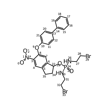 O=[N+]([O-])c1cc2c(cc1Oc1ccc(-c3ccccc3)cc1)C(OP(=O)(NCCBr)NCCBr)CC2